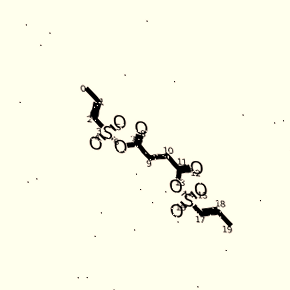 CC=CS(=O)(=O)OC(=O)CCC(=O)OS(=O)(=O)C=CC